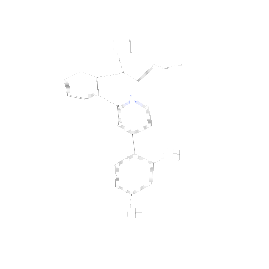 CCC=CC(C)C1CC=CC=C1c1cc(-c2ccc(C)cc2C)ccn1